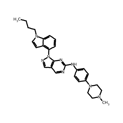 CCCCn1ccc2c(-n3ncc4cnc(Nc5ccc(N6CCN(C)CC6)cc5)nc43)cccc21